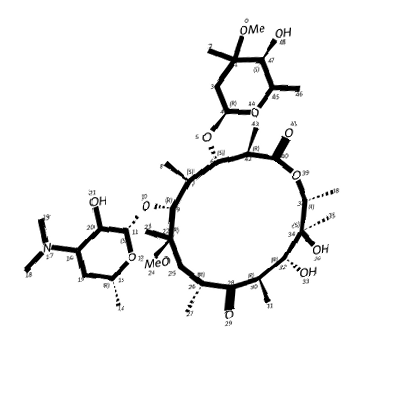 COC1(C)C[C@H](O[C@H]2[C@H](C)[C@@H](O[C@@H]3O[C@H](C)CC(N(C)C)C3O)[C@](C)(OC)C[C@@H](C)C(=O)[C@H](C)[C@@H](O)[C@](C)(O)[C@@H](C)OC(=O)[C@@H]2C)OC(C)[C@@H]1O